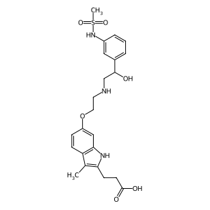 Cc1c(CCC(=O)O)[nH]c2cc(OCCNCC(O)c3cccc(NS(C)(=O)=O)c3)ccc12